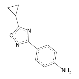 Nc1ccc(-c2noc(C3CC3)n2)cc1